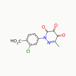 CC1=NN(c2ccc(C(=O)O)c(Cl)c2)C(=O)C(=O)C1=O